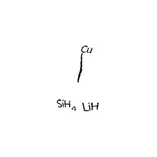 [CH3][Cu].[LiH].[SiH4]